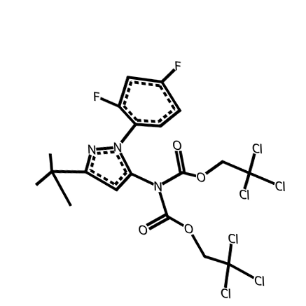 CC(C)(C)c1cc(N(C(=O)OCC(Cl)(Cl)Cl)C(=O)OCC(Cl)(Cl)Cl)n(-c2ccc(F)cc2F)n1